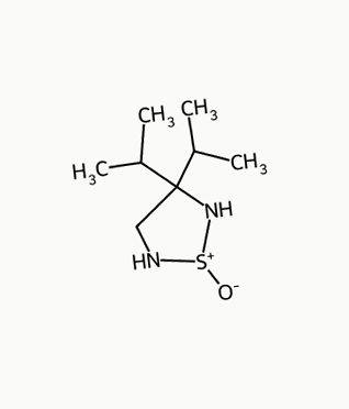 CC(C)C1(C(C)C)CN[S+]([O-])N1